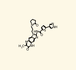 Cc1nc2cc3c(cc2[nH]c1=O)nc(NC(=O)c1ccc(-c2cn[nH]c2)s1)n3CCCN1CCCC1=O